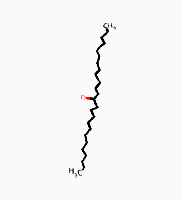 CCCCCCCCCCCCC(=O)CCCCCCCCCCCC